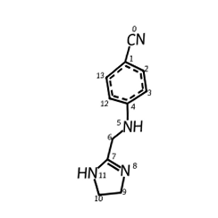 N#Cc1ccc(NCC2=NCCN2)cc1